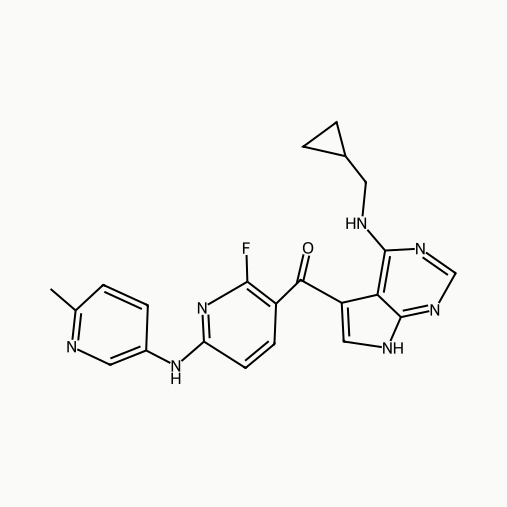 Cc1ccc(Nc2ccc(C(=O)c3c[nH]c4ncnc(NCC5CC5)c34)c(F)n2)cn1